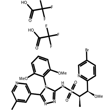 COc1cccc(OC)c1-n1c(NS(=O)(=O)[C@H](C)[C@H](OC)c2ccc(Br)cn2)nnc1-c1cncc(C)c1.O=C(O)C(F)(F)F.O=C(O)C(F)(F)F